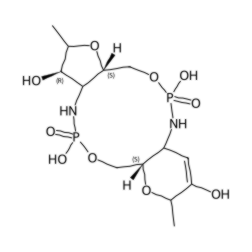 CC1O[C@@H]2COP(=O)(O)NC3[C@@H](O)C(C)O[C@@H]3COP(=O)(O)NC2C=C1O